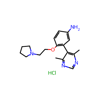 Cc1ncnc(C)c1-c1cc(N)ccc1OCCN1CCCC1.Cl